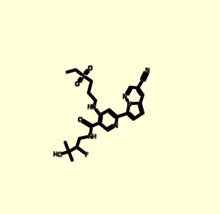 CCS(=O)(=O)CCCNc1cc(-c2ccc3cc(C#N)cnn23)ncc1C(=O)NCC(F)C(C)(C)O